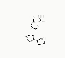 CCC(=N)n1nc(Oc2cc(C(F)(F)F)ccc2-c2cncnc2)c(C)cc1=N